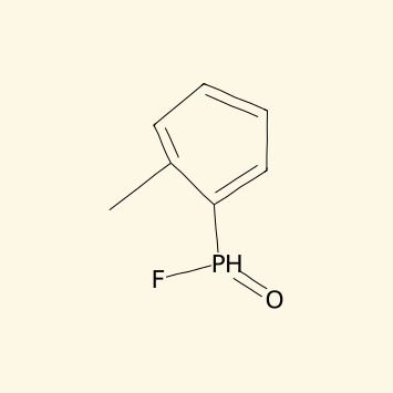 Cc1ccccc1[PH](=O)F